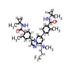 Cc1cc(-c2cc(N(C)CCC(F)(F)F)c3ncc(-c4ccc(C(=O)NC5(C)CC5)c(C)c4)n3c2)ccc1C(=O)NC1(C)CC1